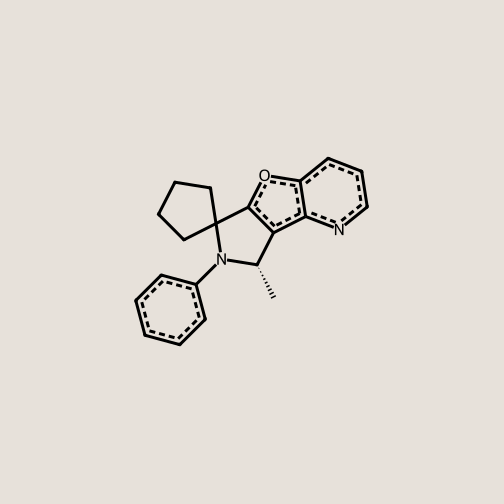 C[C@H]1c2c(oc3cccnc23)C2(CCCC2)N1c1ccccc1